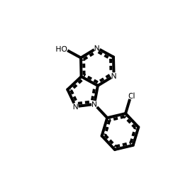 Oc1ncnc2c1cnn2-c1ccccc1Cl